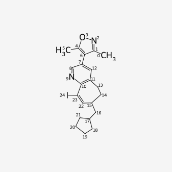 Cc1noc(C)c1-c1cnc2c(c1)CCC(CC1CCCC1)C=C2I